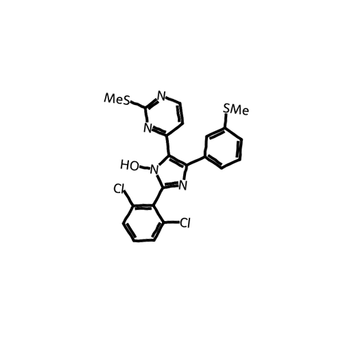 CSc1cccc(-c2nc(-c3c(Cl)cccc3Cl)n(O)c2-c2ccnc(SC)n2)c1